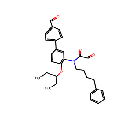 CCC(CC)Oc1ccc(-c2ccc(C=O)cc2)cc1N(CCCCc1ccccc1)C(=O)C=O